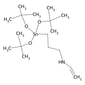 C=CNCC[CH2][Sn]([O]C(C)(C)C)([O]C(C)(C)C)[O]C(C)(C)C